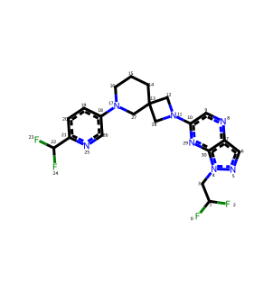 FC(F)Cn1ncc2ncc(N3CC4(CCCN(c5ccc(C(F)F)nc5)C4)C3)nc21